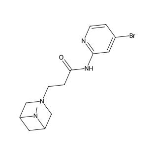 CN1C2CC1CN(CCC(=O)Nc1cc(Br)ccn1)C2